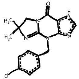 CC1(C)CN2C(=O)c3[nH]cnc3N(Cc3ccc(Cl)cc3)C2=N1